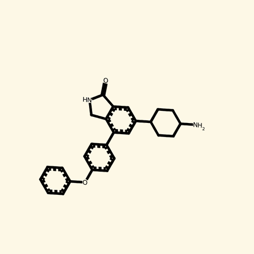 NC1CCC(c2cc3c(c(-c4ccc(Oc5ccccc5)cc4)c2)CNC3=O)CC1